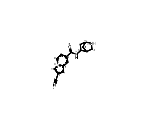 N#Cc1cc2cc(C(=O)NC3CC4CC3CN4)ccn2c1